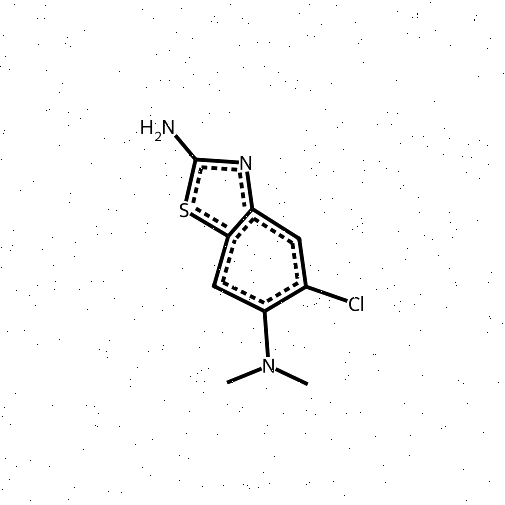 CN(C)c1cc2sc(N)nc2cc1Cl